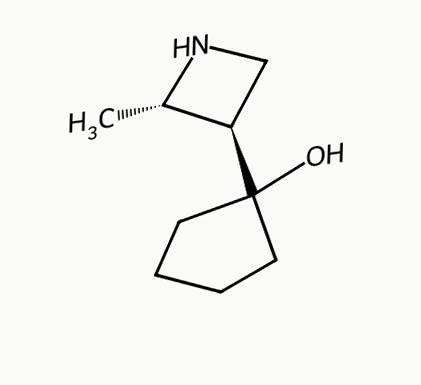 C[C@@H]1NC[C@H]1C1(O)CCCC1